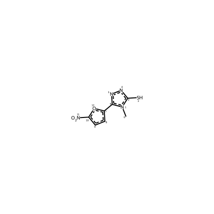 Cn1c(S)nnc1-c1ccc([N+](=O)[O-])o1